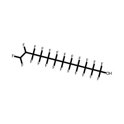 OC(F)(F)C(F)(F)C(F)(F)C(F)(F)C(F)(F)C(F)(F)C(F)(F)C(F)(F)C(F)(F)C(F)(F)C(F)C(F)F